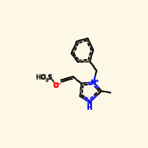 C=Cc1c[nH]c(C)[n+]1Cc1ccccc1.O=S(=O)([O-])O